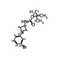 CC(C)(C)OC(=O)NC1CN(c2cccc(Br)c2)C1